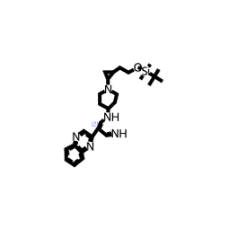 CC(C)(C)[Si](C)(C)OCCC1CC1N1CCC(N/C=C(\C=N)c2cnc3ccccc3n2)CC1